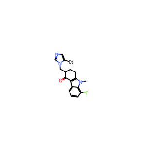 CCc1cncn1CC1CCc2c(c3cccc(F)c3n2C)C1=O